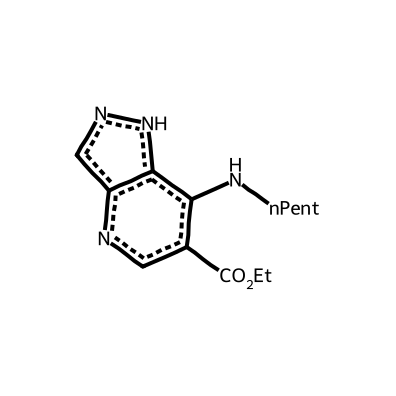 CCCCCNc1c(C(=O)OCC)cnc2cn[nH]c12